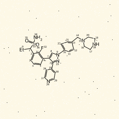 CCC(c1cccc(-c2cn(-c3ccc(CN4CCNCC4)cc3)nc2-c2ccncc2)c1F)S(N)(=O)=O